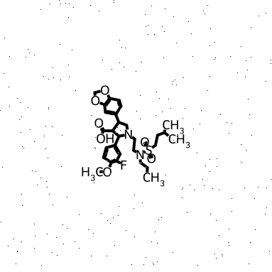 CCCN(CCN1CC(c2ccc3c(c2)OCO3)C(C(=O)O)C1c1ccc(OC)c(F)c1)S(=O)(=O)CCC(C)C